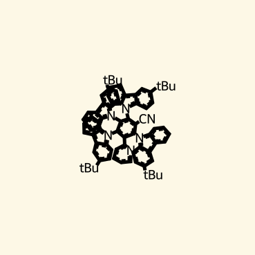 CC(C)(C)c1ccc2c(c1)c1ccccc1n2-c1c(C#N)c(-n2c3ccccc3c3cc(C(C)(C)C)ccc32)c(-n2c3ccccc3c3cc(C(C)(C)C)ccc32)c(-n2c3ccccc3c3cc(C(C)(C)C)ccc32)c1-c1ccccn1